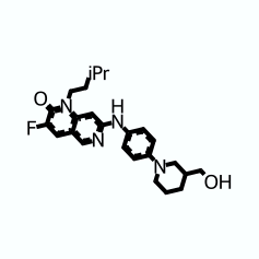 CC(C)CCn1c(=O)c(F)cc2cnc(Nc3ccc(N4CCCC(CO)C4)cc3)cc21